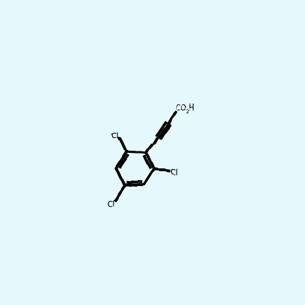 O=C(O)C#Cc1c(Cl)cc(Cl)cc1Cl